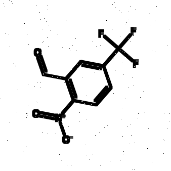 O=Cc1cc(C(F)(F)F)ccc1[N+](=O)[O-]